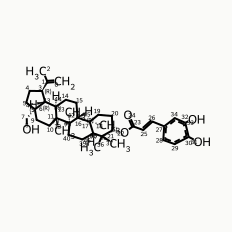 C=C(C)[C@@H]1CC[C@]2(CO)CC[C@]3(C)[C@H](CC[C@@H]4[C@@]5(C)CC[C@H](OC(=O)C=Cc6ccc(O)c(O)c6)C(C)(C)[C@@H]5CC[C@]43C)[C@@H]12